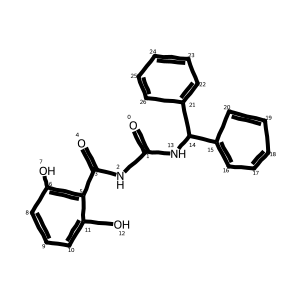 O=C(NC(=O)c1c(O)cccc1O)NC(c1ccccc1)c1ccccc1